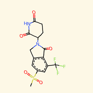 CS(=O)(=O)c1cc2c(c(C(F)(F)F)c1)C(=O)N(C1CCC(=O)NC1=O)C2